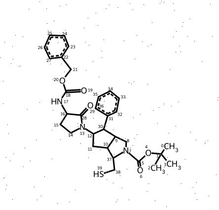 CC(C)(C)OC(=O)N1CC2C(CC(N3CCC(NC(=O)OCc4ccccc4)C3=O)C2c2ccccc2)C1CS